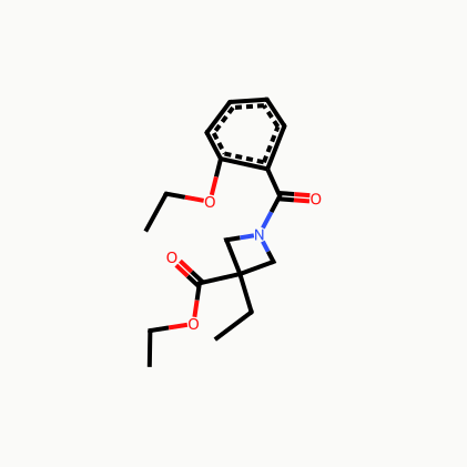 CCOC(=O)C1(CC)CN(C(=O)c2ccccc2OCC)C1